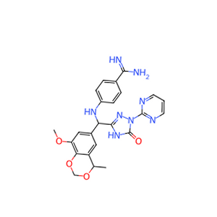 COc1cc(C(Nc2ccc(C(=N)N)cc2)c2nn(-c3ncccn3)c(=O)[nH]2)cc2c1OCOC2C